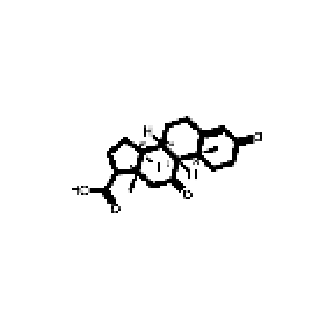 C[C@]12CCC(=O)C=C1CC[C@@H]1[C@H]2C(=O)C[C@]2(C)C(C(=O)O)CC[C@@H]12